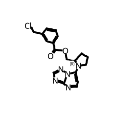 O=C(OC[C@H]1CCCN1c1ccnc2ncnn12)c1cccc(CCl)c1